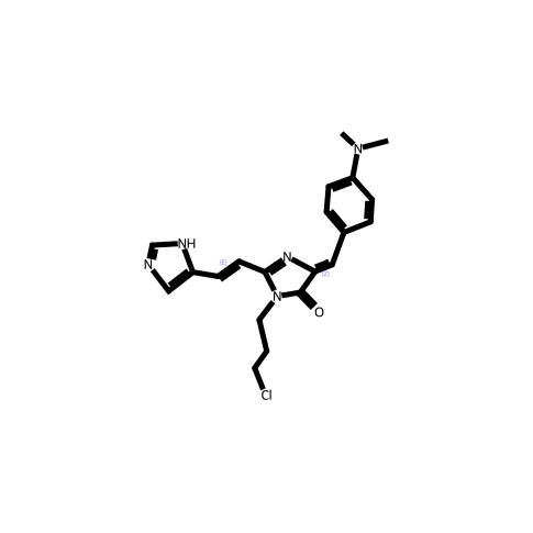 CN(C)c1ccc(/C=C2N=C(/C=C/c3cnc[nH]3)N(CCCCl)C\2=O)cc1